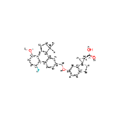 COc1ccc(F)c(-c2ccc(COc3ccc4c(c3)[C@@]3(CC4)C[C@H]3C(=O)O)cc2C2=CCCC2(C)C)c1